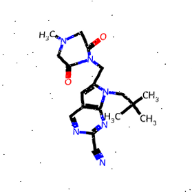 CN1CC(=O)N(Cc2cc3cnc(C#N)nc3n2CC(C)(C)C)C(=O)C1